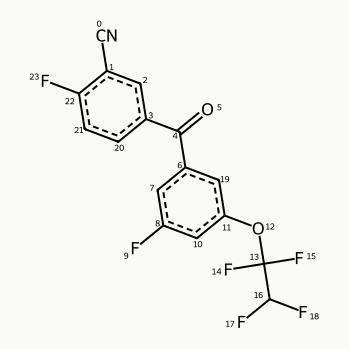 N#Cc1cc(C(=O)c2cc(F)cc(OC(F)(F)C(F)F)c2)ccc1F